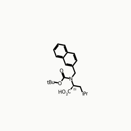 CC(C)C[C@@H](C(=O)O)N(Cc1ccc2ccccc2c1)C(=O)OC(C)(C)C